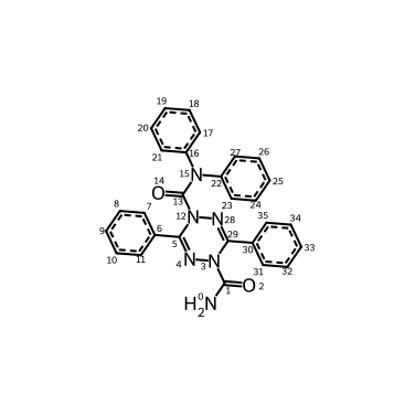 NC(=O)N1N=C(c2ccccc2)N(C(=O)N(c2ccccc2)c2ccccc2)N=C1c1ccccc1